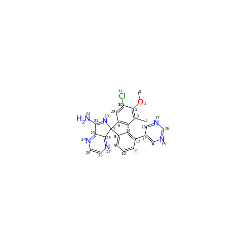 COc1c(C)cc(C2(c3cccc(-c4cncnc4)c3)N=C(N)c3nccnc32)cc1Cl